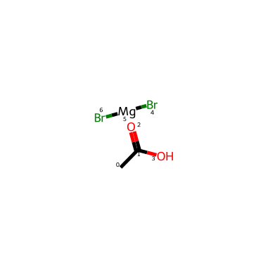 CC(=O)O.[Br][Mg][Br]